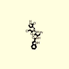 CC(C)CC(NC(=O)c1cc2ccccc2[nH]1)C(=O)NN(C[C@H]1CCNC1=O)C(=O)CCl